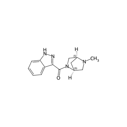 CN1C[C@@H]2C[C@H]1CN2C(=O)c1n[nH]c2ccccc12